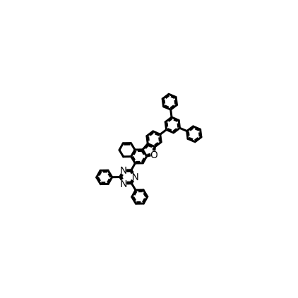 C1=Cc2c(c(-c3nc(-c4ccccc4)nc(-c4ccccc4)n3)cc3oc4cc(-c5cc(-c6ccccc6)cc(-c6ccccc6)c5)ccc4c23)CC1